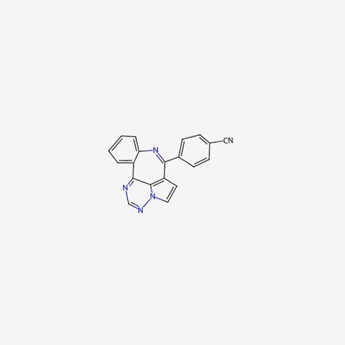 N#Cc1ccc(C2=Nc3ccccc3-c3ncnn4ccc2c34)cc1